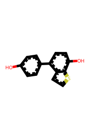 Oc1ccc(-c2ccc(O)c3sccc23)cc1